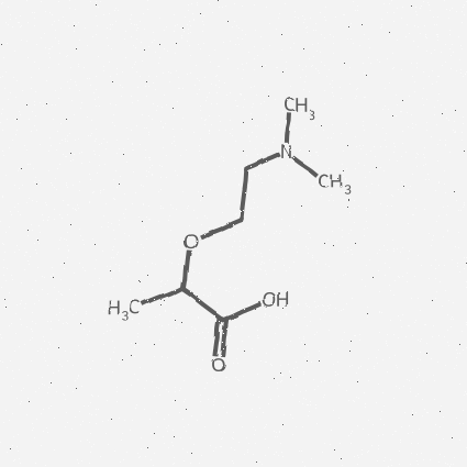 CC(OCCN(C)C)C(=O)O